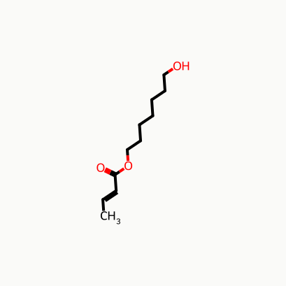 CC=CC(=O)OCCCCCCCO